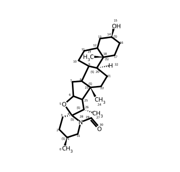 C[C@H]1CC[C@@]2(OC3CC4C5CCC6C[C@@H](O)CC[C@]6(C)[C@H]5CC[C@]4(C)C3[C@@H]2C)N(C=O)C1